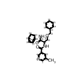 Cc1cncc(C(=O)NC(COCc2ccccc2)C(N)=O)c1.c1cc2ccc1o2